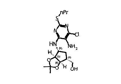 CCCSc1nc(Cl)c(N)c(N[C@@H]2C[C@H](CO)[C@H]3OC(C)(C)O[C@H]32)n1